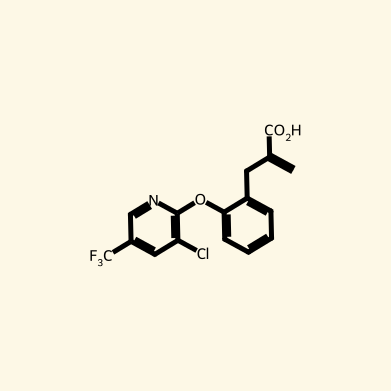 C=C(Cc1ccccc1Oc1ncc(C(F)(F)F)cc1Cl)C(=O)O